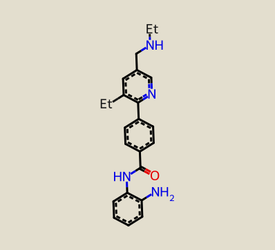 CCNCc1cnc(-c2ccc(C(=O)Nc3ccccc3N)cc2)c(CC)c1